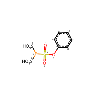 O=S(=O)(O)P(S(=O)(=O)O)S(=O)(=O)Oc1ccccc1